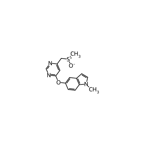 Cn1ccc2cc(Oc3cc(C[S+](C)[O-])ncn3)ccc21